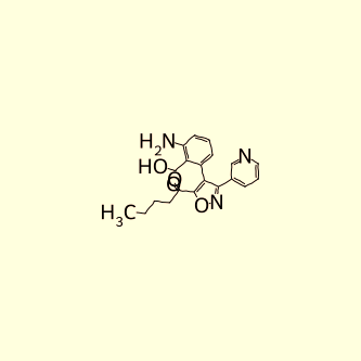 CCCCC(=O)c1onc(-c2cccnc2)c1-c1cccc(N)c1C(=O)O